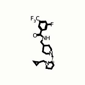 O=C(NCC1CCN(C[C@@H]2CCCN2CC2CC2)CC1)c1cc(F)cc(C(F)(F)F)c1